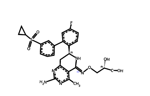 Cc1nc(N)nc2c1/C(=N/OC[C@H](O)CO)N[C@H](c1ccc(F)cc1-c1cccc(S(=O)(=O)C3CC3)c1)C2